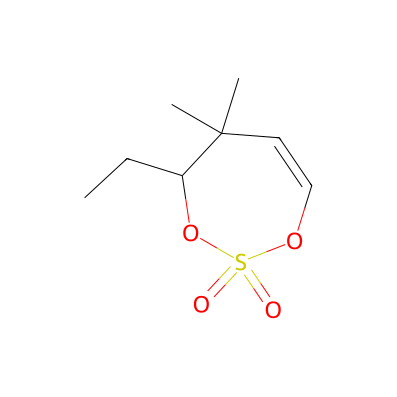 CCC1OS(=O)(=O)OC=CC1(C)C